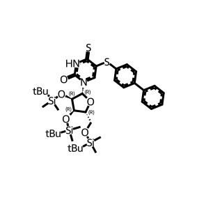 CC(C)(C)[Si](C)(C)OC[C@H]1O[C@@H](n2cc(Sc3ccc(-c4ccccc4)cc3)c(=S)[nH]c2=O)[C@H](O[Si](C)(C)C(C)(C)C)[C@@H]1O[Si](C)(C)C(C)(C)C